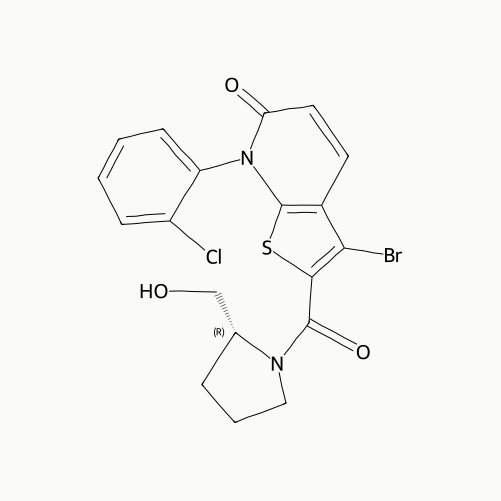 O=C(c1sc2c(ccc(=O)n2-c2ccccc2Cl)c1Br)N1CCC[C@@H]1CO